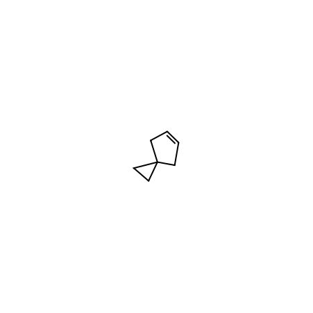 C1=CCC2(C1)CC2